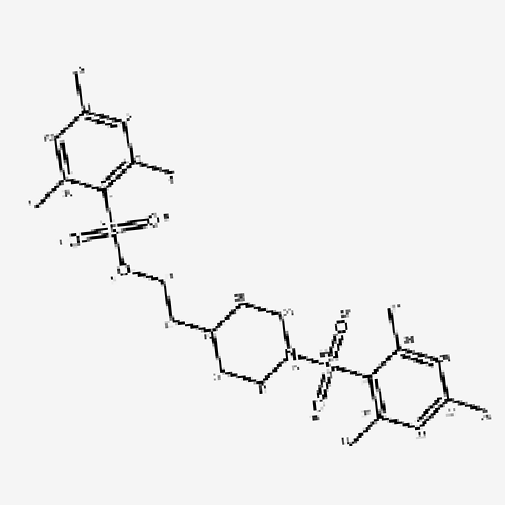 Cc1cc(C)c(S(=O)(=O)OCCC2CCN(S(=O)(=O)c3c(C)cc(C)cc3C)CC2)c(C)c1